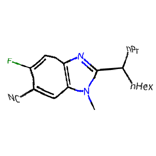 CCCCCCC(CCC)c1nc2cc(F)c(C#N)cc2n1C